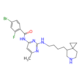 Cc1cc(NC(=O)c2ccc(Br)cc2F)nc(NCCCCC2CNCCC23CC3)n1